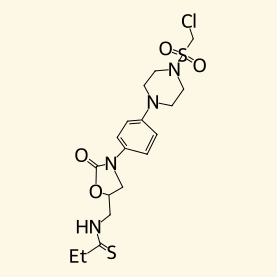 CCC(=S)NCC1CN(c2ccc(N3CCN(S(=O)(=O)CCl)CC3)cc2)C(=O)O1